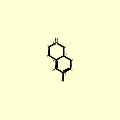 CC1=CCC2CNCCC2=C1